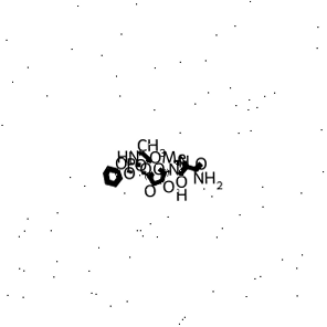 COC(=O)C(C)NP(=O)(OC[C@H]1O[C@@H](n2cnc(C(N)=O)c2O)C(=O)C1=O)Oc1ccccc1